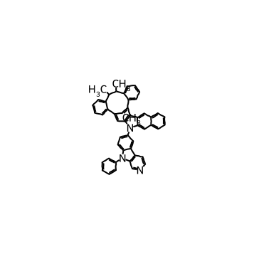 Cc1c2cc3c(c1-c1ccccc1C(C)C(C)c1ccccc1-2)c1cc2ccccc2cc1n3-c1ccc2c(c1)c1ccncc1n2-c1ccccc1